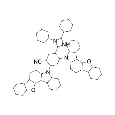 N#CC1CC(C2NC(C3CCCCC3)N2C2CCCCC2)C(N2C3CCCCC3C3C4OC5CCCCC5C4CCC32)CC1N1C2CCCCC2C2C3OC4CCCCC4C3CCC21